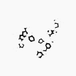 COc1ccc(C(=O)Nc2c(Cl)cncc2Cl)cc1OC1CCCC1.NC1CCN(c2nc3c(cc2F)c(=O)c(C(=O)O)cn3-c2ccc(F)cc2F)C1.Nc1ncnc2c1ncn2[C@@H]1O[C@H](CO)[C@@H](O)[C@@H]1O.O